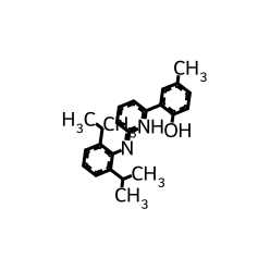 Cc1ccc(O)c(-c2cccc(=Nc3c(C(C)C)cccc3C(C)C)[nH]2)c1